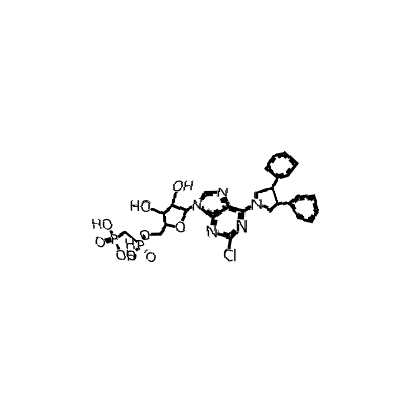 O=P(O)(O)CP(=O)(O)OCC1OC(n2cnc3c(N4CC(c5ccccc5)C(c5ccccc5)C4)nc(Cl)nc32)C(O)C1O